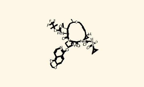 CC[C@@H]1C[C@@H](C)CCC=C[C@@H]2C[C@@]2(C(=O)NS(=O)(=O)C2CC2)NC(=O)[C@@H]2C[C@@H](Oc3nccc4c5c(ccc34)OCCO5)CN2C(=O)[C@H]1NC(=O)OC(C)(C)C(F)(F)F